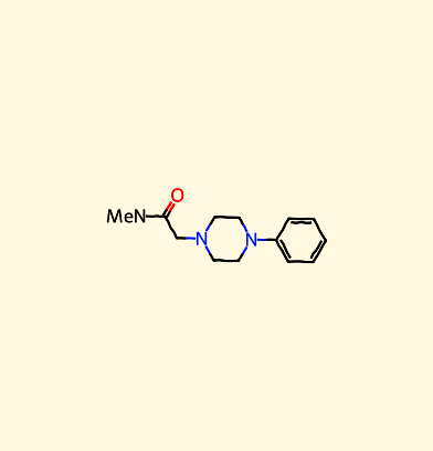 CNC(=O)CN1CCN(c2ccccc2)CC1